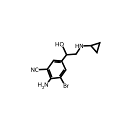 N#Cc1cc(C(O)CNC2CC2)cc(Br)c1N